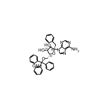 COc1ccccc1C(OC[C@H]1O[C@@](Cc2ccccc2)(n2cnc3c(N)ncnc32)[C@H](O)[C@@H]1O)(c1ccccc1)c1ccccc1